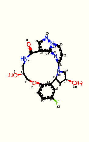 O=C1NC[C@H](O)COc2ccc(F)cc2C2C[C@H](O)CN2c2ccn3ncc1c3n2